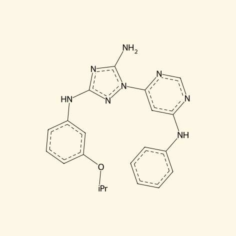 CC(C)Oc1cccc(Nc2nc(N)n(-c3cc(Nc4ccccc4)ncn3)n2)c1